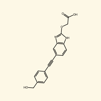 O=C(O)COc1nc2cc(C#Cc3ccc(CO)cc3)ccc2[nH]1